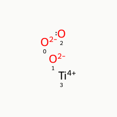 [O-2].[O-2].[O].[Ti+4]